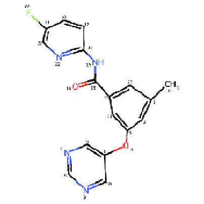 Cc1cc(Oc2cncnc2)cc(C(=O)Nc2ccc(F)cn2)c1